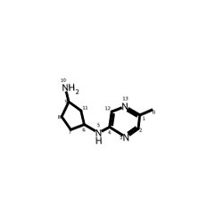 Cc1cnc(NC2CCC(N)C2)cn1